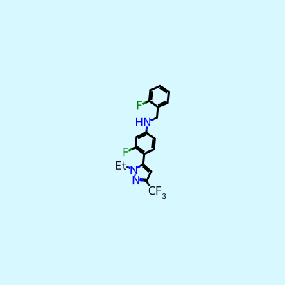 CCn1nc(C(F)(F)F)cc1-c1ccc(NCc2ccccc2F)cc1F